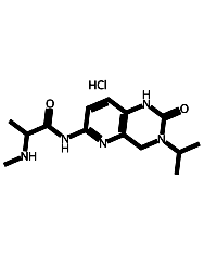 CNC(C)C(=O)Nc1ccc2c(n1)CN(C(C)C)C(=O)N2.Cl